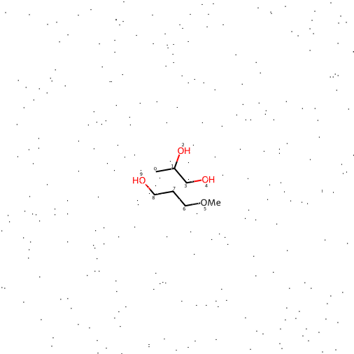 CC(O)CO.COCCCO